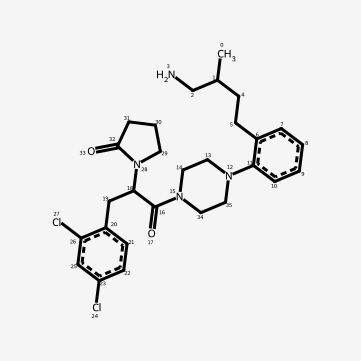 CC(CN)CCc1ccccc1N1CCN(C(=O)C(Cc2ccc(Cl)cc2Cl)N2CCCC2=O)CC1